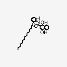 CCCCCCCCCCCCCCOc1ccccc1NC(=O)c1cc(O)c2ccccc2c1O